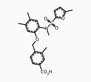 Cc1ccc(S(=O)(=O)N(C)c2cc(C)c(C)cc2OCc2ccc(C(=O)O)cc2C)o1